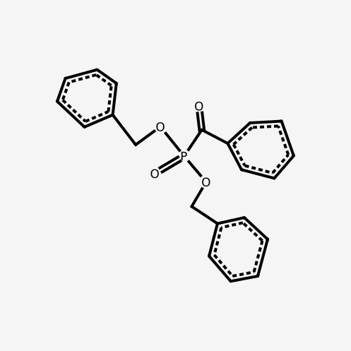 O=C(c1ccccc1)P(=O)(OCc1ccccc1)OCc1ccccc1